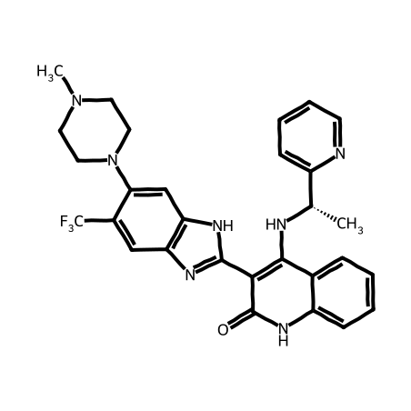 C[C@H](Nc1c(-c2nc3cc(C(F)(F)F)c(N4CCN(C)CC4)cc3[nH]2)c(=O)[nH]c2ccccc12)c1ccccn1